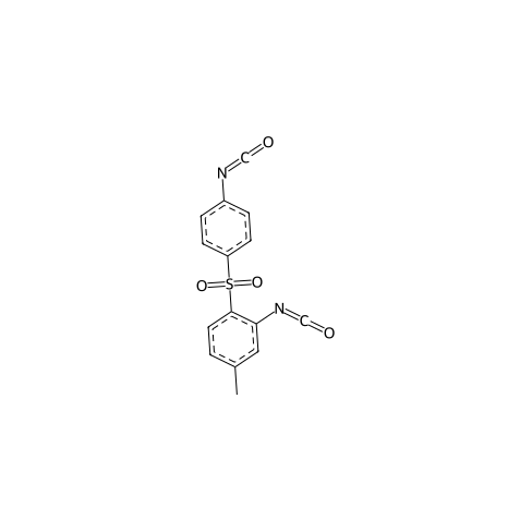 Cc1ccc(S(=O)(=O)c2ccc(N=C=O)cc2)c(N=C=O)c1